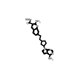 CNC(=O)c1cc2ccc(CCC3CCC(n4ccc5c(N)ncnc54)C3)cc2nc1N